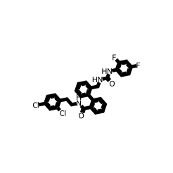 O=C(NCc1ccccc1-c1ccccc1C(=O)NCCc1ccc(Cl)cc1Cl)Nc1ccc(F)cc1F